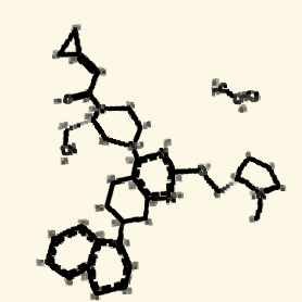 CN1CCC[C@H]1COc1nc2c(c(N3CCN(C(=O)C=C4CC4)[C@@H](CC#N)C3)n1)CC[C@H](c1cccc3ccccc13)C2.O=CO